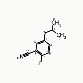 CC(C)Cc1ccc(F)c(C#N)c1